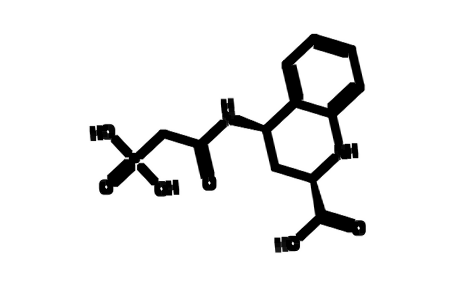 O=C(CP(=O)(O)O)N[C@@H]1C[C@H](C(=O)O)Nc2ccccc21